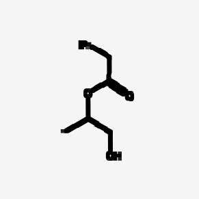 [CH2]C(CO)OC(=O)CC(C)C